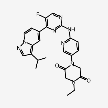 CCN1CC(=O)N(c2ccc(Nc3ncc(F)c(-c4ccn5ncc(C(C)C)c5c4)n3)nc2)CC1=O